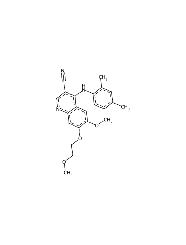 COCCOc1cc2ncc(C#N)c(Nc3ccc(C)cc3C)c2cc1OC